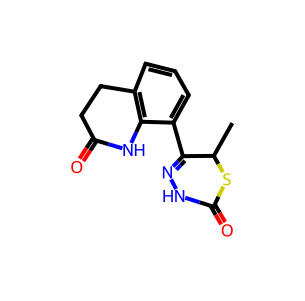 CC1SC(=O)NN=C1c1cccc2c1NC(=O)CC2